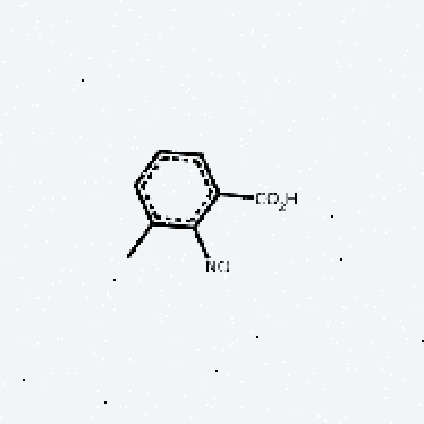 Cc1cccc(C(=O)O)c1N=O